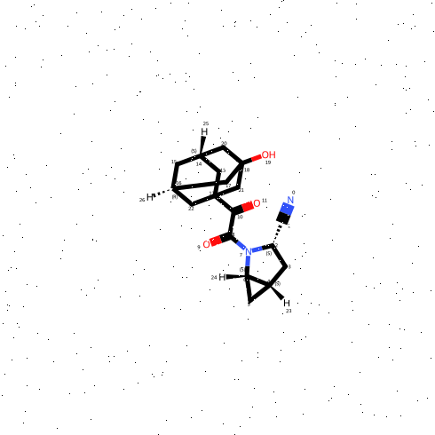 N#C[C@@H]1C[C@@H]2C[C@@H]2N1C(=O)C(=O)C12C[C@@H]3C[C@@H](CC(O)(C3)C1)C2